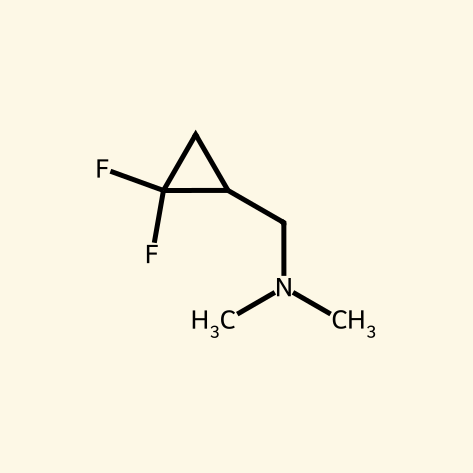 CN(C)CC1CC1(F)F